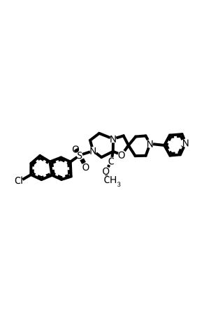 COCC12CN(S(=O)(=O)c3ccc4cc(Cl)ccc4c3)CCN1CC1(CCN(c3ccncc3)CC1)O2